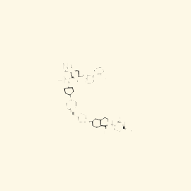 NC(=O)c1ncc(N2CCC[C@H](N3CCCC3=O)C2)nc1Nc1ccc(C2CCN(CC3CCN(c4ccc5c(=O)n(C6CCC(=O)NC6=O)ccc5c4)CC3)CC2)cc1